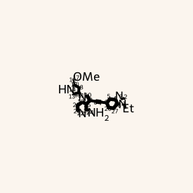 CCn1cnc2cc(C#Cc3cn([C@@H]4CN[C@@H](COC)C4)c4ccnc(N)c34)ccc21